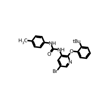 Cc1ccc(NC(=O)Nc2cc(Br)cnc2Oc2ccccc2C(C)(C)C)cc1